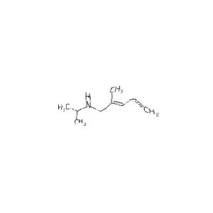 C=C/C=C(\C)CNC(C)C